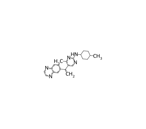 C=C(c1ccc2nccnc2c1)c1cnc(NC2CCC(C)CC2)nc1C